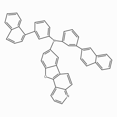 c1cc(-c2ccc3ccccc3c2)cc(N(c2cccc(-c3cccc4ccccc34)c2)c2ccc3oc4c5cccnc5ccc4c3c2)c1